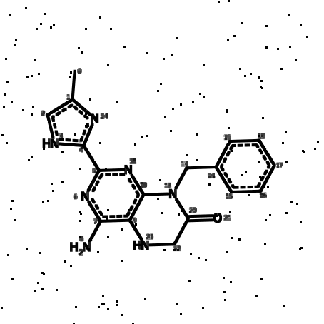 Cc1c[nH]c(-c2nc(N)c3c(n2)N(Cc2ccccc2)C(=O)CN3)n1